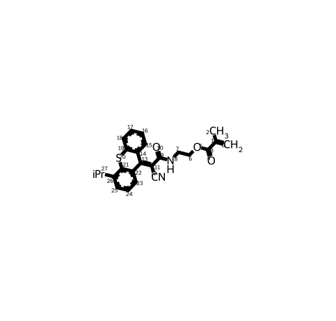 C=C(C)C(=O)OCCNC(=O)C(C#N)=C1c2ccccc2Sc2c1cccc2C(C)C